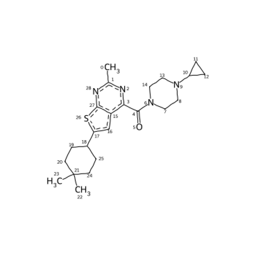 Cc1nc(C(=O)N2CCN(C3CC3)CC2)c2cc(C3CCC(C)(C)CC3)sc2n1